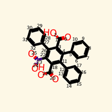 O=C(O)c1c(-c2ccccc2)c(-c2ccccc2)c(C(=O)O)c(I(=O)=O)c1-c1ccccc1